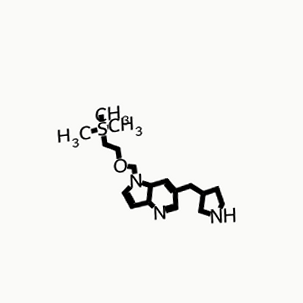 CS(C)(C)CCOCN1C=CC2N=CC(CC3CCNC3)=CC21